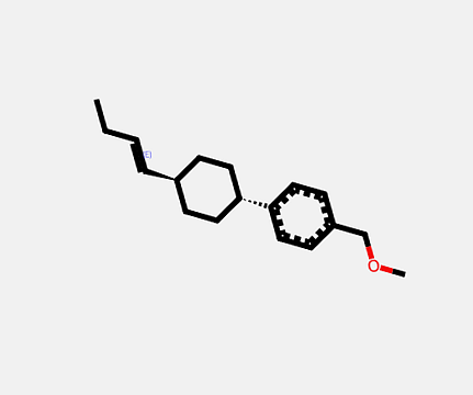 CC/C=C/[C@H]1CC[C@H](c2ccc(COC)cc2)CC1